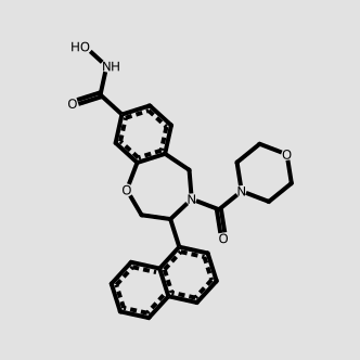 O=C(NO)c1ccc2c(c1)OCC(c1cccc3ccccc13)N(C(=O)N1CCOCC1)C2